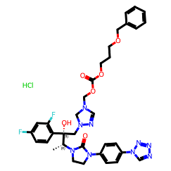 C[C@@H](N1CCN(c2ccc(-n3cnnn3)cc2)C1=O)[C@](O)(CN1CN(COC(=O)OCCCOCc2ccccc2)C=N1)c1ccc(F)cc1F.Cl